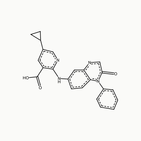 O=C(O)c1cc(C2CC2)cnc1Nc1ccc2c(c1)ncc(=O)n2-c1ccccc1